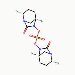 O=C1N2C[C@@H](CC[C@H]2F)N1OS(=O)(=O)ON1C(=O)N2C[C@H]1CC[C@H]2F